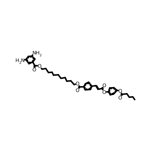 CCCCC(=O)Oc1ccc(OC(=O)C=Cc2ccc(C(=O)OCCCCCCCCCCCOC(=O)c3cc(N)cc(N)c3)cc2)cc1